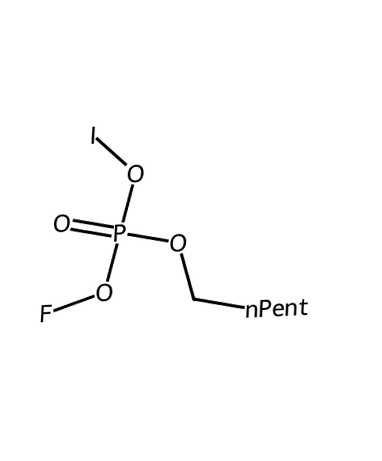 CCCCCCOP(=O)(OF)OI